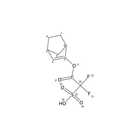 O=C(OC1=CC2CCC1C2)C(F)(F)S(=O)(=O)O